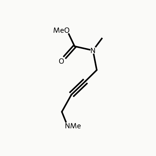 CNCC#CCN(C)C(=O)OC